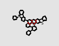 c1ccc(-c2ccccc2-c2c(-c3ccccc3)cccc2N(c2ccc(-c3ccc4c(c3)c3ccccc3n4-c3ccccc3)cc2)c2ccc3c(c2)sc2ccccc23)cc1